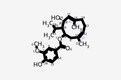 COc1cc(C(=O)OC2C/C(C)=C\CC/C(C)=C/[C@@H](O)C2C(C)C)ccc1O